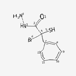 NNC(=O)C(S)(Br)c1ccccc1